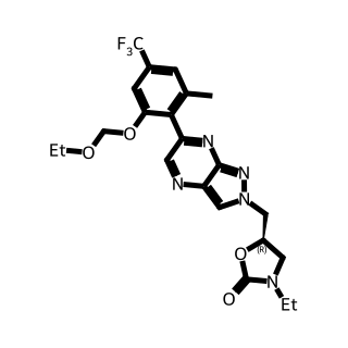 CCOCOc1cc(C(F)(F)F)cc(C)c1-c1cnc2cn(C[C@H]3CN(CC)C(=O)O3)nc2n1